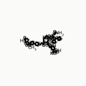 Cn1c(=O)n(C2CCC(=O)NC2=O)c2ccc(C3CCN(CCC(=O)N4CC[C@H]5CC[C@@H](C(=O)N[C@@H](CCC(N)=O)C(=O)NC(c6ccccc6)c6ccccc6)N5C(=O)[C@@H](NC(=O)c5cc6cc(C(=O)P(=O)(O)O)ccc6[nH]5)C4)CC3)cc21